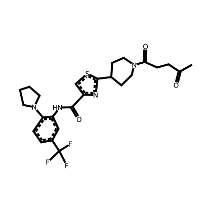 CC(=O)CCC(=O)N1CCC(c2nc(C(=O)Nc3cc(C(F)(F)F)ccc3N3CCCC3)cs2)CC1